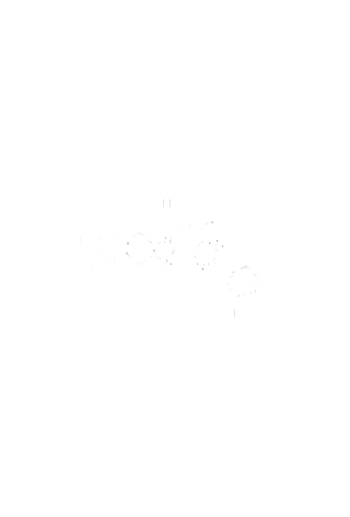 CCS(=O)(=O)c1c(-c2nc3cc4c(cc3n2C)OC(F)(F)C(F)(F)O4)nc(-c2cc(F)cc(F)c2)n1C